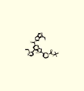 CCn1nccc1-c1cc(C(=O)N2Cc3cnn(CC)c3C2)cc2cc(C3=CCCN(C(=O)OC(C)(C)C)C3)[nH]c12